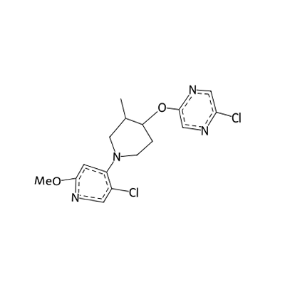 COc1cc(N2CCC(Oc3cnc(Cl)cn3)C(C)C2)c(Cl)cn1